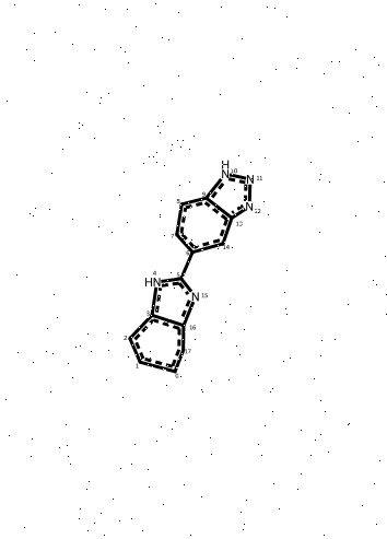 c1ccc2[nH]c(-c3ccc4[nH]nnc4c3)nc2c1